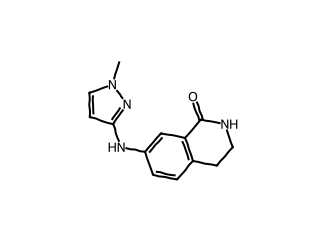 Cn1ccc(Nc2ccc3c(c2)C(=O)NCC3)n1